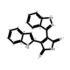 O=C1NC(=O)C(c2n[nH]c3ccccc23)=C1c1cc2ccccc2[nH]1